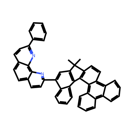 CC1(C)c2cc(-c3ccc4ccc5ccc(-c6ccccc6)nc5c4n3)c3ccccc3c2-c2c1ccc1c3ccccc3c3ccccc3c21